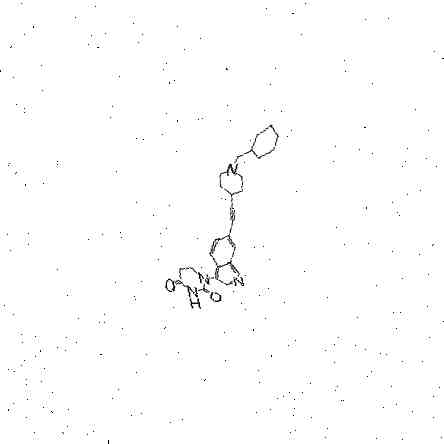 O=C1CCN(c2cncc3cc(C#CC4CCN(CC5CCCCC5)CC4)ccc23)C(=O)N1